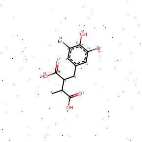 CC(C(=O)O)C(Cc1cc(Br)c(O)c(Br)c1)C(=O)O